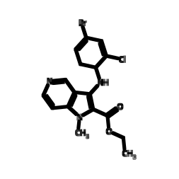 CCOC(=O)c1c(NC2CC=C(Br)C=C2Cl)c2cnccc2n1C